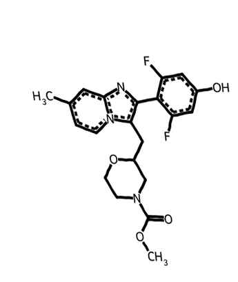 COC(=O)N1CCOC(Cc2c(-c3c(F)cc(O)cc3F)nc3cc(C)ccn23)C1